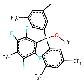 Cc1cc([B-](OC(C)C)(c2cc(C(F)(F)F)cc(C(F)(F)F)c2)c2c(F)c(F)c(C(F)(F)F)c(F)c2F)cc(C(F)(F)F)c1